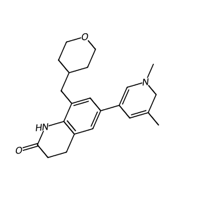 CC1=CC(c2cc3c(c(CC4CCOCC4)c2)NC(=O)CC3)=CN(C)C1